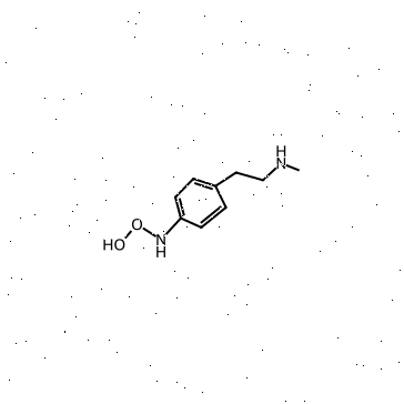 CNCCc1ccc(NOO)cc1